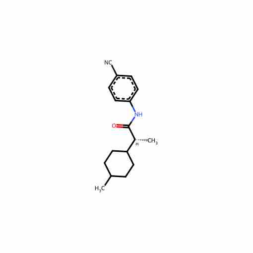 CC1CCC([C@@H](C)C(=O)Nc2ccc(C#N)cc2)CC1